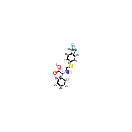 COC(=O)C(NC=[SH]c1ccc(C(F)(F)F)cc1)c1ccccc1